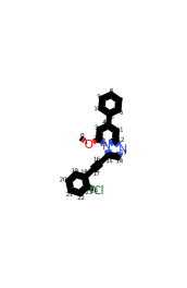 COc1cc(-c2ccccc2)cc2ncc(C#Cc3ccccc3Cl)n12